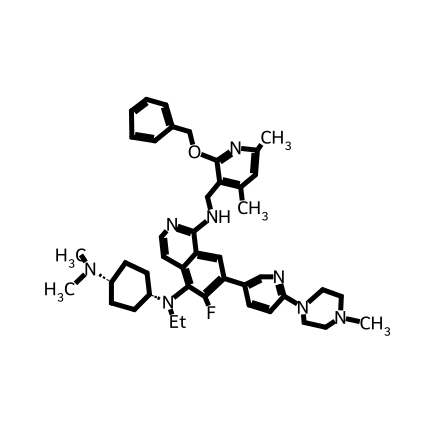 CCN(c1c(F)c(-c2ccc(N3CCN(C)CC3)nc2)cc2c(NCc3c(C)cc(C)nc3OCc3ccccc3)nccc12)[C@H]1CC[C@@H](N(C)C)CC1